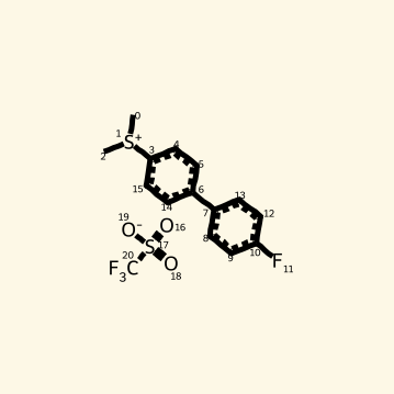 C[S+](C)c1ccc(-c2ccc(F)cc2)cc1.O=S(=O)([O-])C(F)(F)F